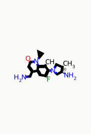 Cc1c(N2C[C@@H](C)[C@H](N)C2)c(F)cc2c(CN)cc(=O)n(C3CC3)c12